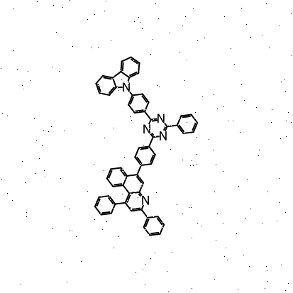 c1ccc(-c2cc(-c3ccccc3)c3c(cc(-c4ccc(-c5nc(-c6ccccc6)nc(-c6ccc(-n7c8ccccc8c8ccccc87)cc6)n5)cc4)c4ccccc43)n2)cc1